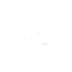 CNC1=C(C(F)C(I)CC(C)C)C1